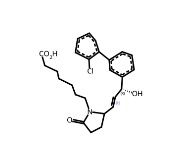 O=C(O)CCCCCCN1C(=O)CCC1/C=C/[C@@H](O)c1cccc(-c2ccccc2Cl)c1